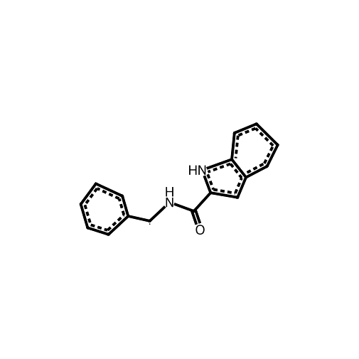 O=C(N[CH]c1ccccc1)c1cc2ccccc2[nH]1